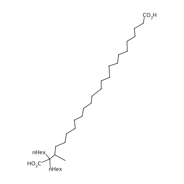 CCCCCCC(CCCCCC)(C(=O)O)C(C)CCCCCCCCCCCCCCCCCCCCC(=O)O